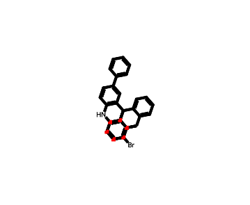 Brc1ccc2c3c1C1c4ccccc4C3(c3cc(-c4ccccc4)ccc3N2)c2ccccc21